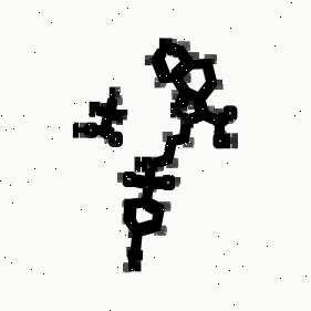 N#Cc1ccc(S(=O)(=O)NCCCn2nc3c(c2C(=O)O)CCc2cnccc2-3)cc1.O=C(O)C(F)(F)F